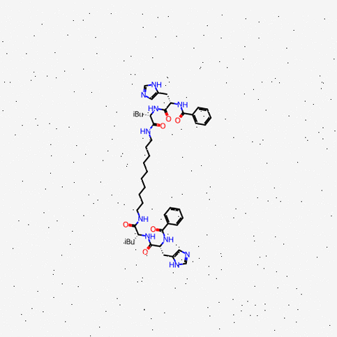 CCC(C)[C@H](NC(=O)[C@H](Cc1cnc[nH]1)NC(=O)c1ccccc1)C(=O)NCCCCCCCCCCNC(=O)[C@H](NC(=O)[C@@H](Cc1cnc[nH]1)NC(=O)c1ccccc1)C(C)CC